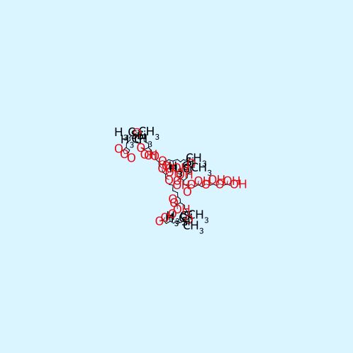 C[Si](C)(CCCC(CC(=O)CCC(O)COCC(O)COCC(COC(=O)CC(CCC[Si](C)(C)O[Si](C)(C)CCCC1CC(=O)OC1=O)C(=O)O)OC(=O)CC(CCC[Si](C)(C)O[Si](C)(C)CCCC(CC(=O)OCC(O)COCC(O)COCC(O)CO)C(=O)O)C(=O)O)C(=O)O)O[Si](C)(C)CCCC1CC(=O)OC1=O